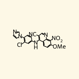 COc1ccc2c(Nc3ccc(-n4ccnc4)c(Cl)c3)c(C#N)cnc2c1[N+](=O)[O-]